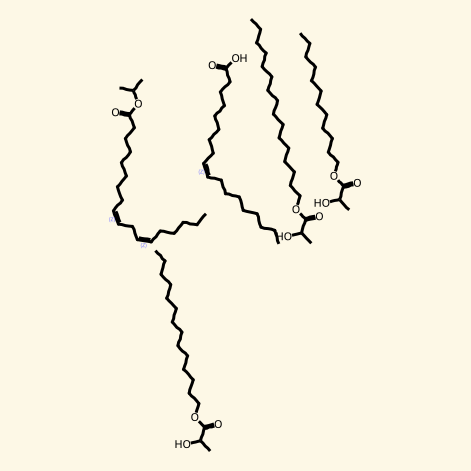 CCCCC/C=C\C/C=C\CCCCCCCC(=O)OC(C)C.CCCCCCCC/C=C\CCCCCCCC(=O)O.CCCCCCCCCCCCCCCCOC(=O)C(C)O.CCCCCCCCCCCCCCOC(=O)C(C)O.CCCCCCCCCCCCOC(=O)C(C)O